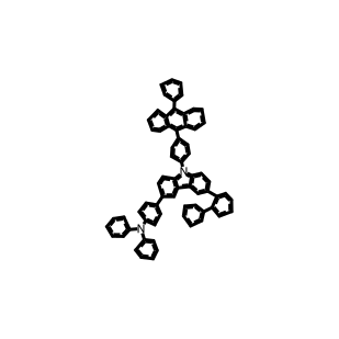 c1ccc(-c2ccccc2-c2ccc3c(c2)c2cc(-c4ccc(N(c5ccccc5)c5ccccc5)cc4)ccc2n3-c2ccc(-c3c4ccccc4c(-c4ccccc4)c4ccccc34)cc2)cc1